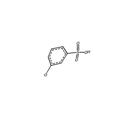 [O]c1cccc(S(=O)(=O)O)c1